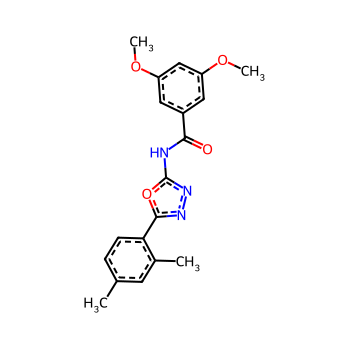 COc1cc(OC)cc(C(=O)Nc2nnc(-c3ccc(C)cc3C)o2)c1